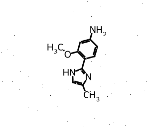 COc1cc(N)ccc1-c1nc(C)c[nH]1